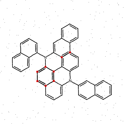 c1ccc(N(c2ccc3ccccc3c2)c2cccc3ccccc23)c(-c2ccccc2N(c2ccc3ccccc3c2)c2cccc3ccccc23)c1